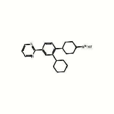 CCCCCC1CCC(c2ccc(-c3ncccn3)cc2C2CCCCC2)CC1